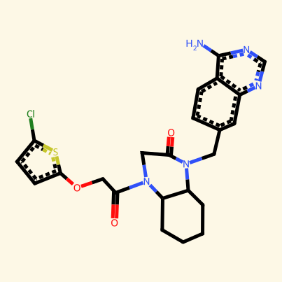 Nc1ncnc2cc(CN3C(=O)CN(C(=O)COc4ccc(Cl)s4)C4CCCCC43)ccc12